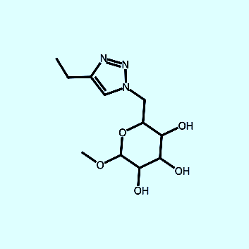 CCc1cn(CC2OC(OC)C(O)C(O)C2O)nn1